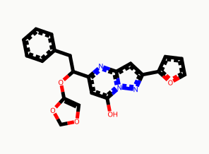 Oc1cc(C(Cc2ccccc2)OC2=COCO2)nc2cc(-c3ccco3)nn12